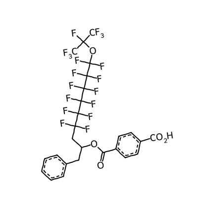 O=C(O)c1ccc(C(=O)OC(Cc2ccccc2)CC(F)(F)C(F)(F)C(F)(F)C(F)(F)C(F)(F)C(F)(F)OC(F)(C(F)(F)F)C(F)(F)F)cc1